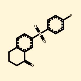 O=C1CCCc2ccc(S(=O)(=O)c3ccc(F)cc3)cc21